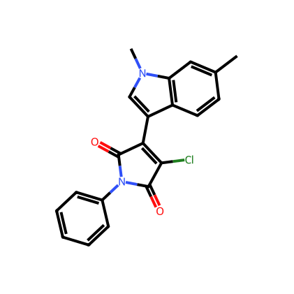 Cc1ccc2c(C3=C(Cl)C(=O)N(c4ccccc4)C3=O)cn(C)c2c1